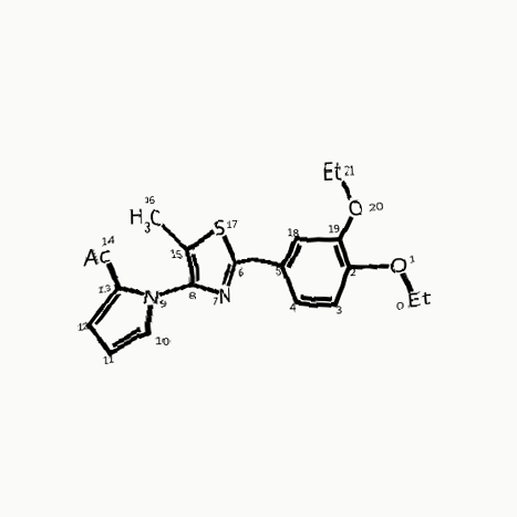 CCOc1ccc(-c2nc(-n3cccc3C(C)=O)c(C)s2)cc1OCC